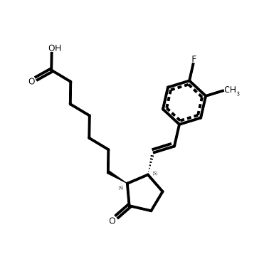 Cc1cc(C=C[C@@H]2CCC(=O)[C@H]2CCCCCCC(=O)O)ccc1F